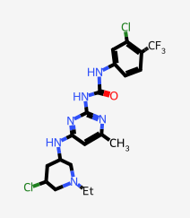 CCN1CC(Cl)CC(Nc2cc(C)nc(NC(=O)Nc3ccc(C(F)(F)F)c(Cl)c3)n2)C1